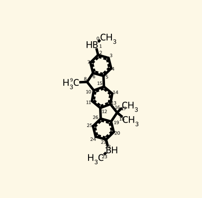 CBc1ccc2c(c1)C(C)c1cc3c(cc1-2)C(C)(C)c1cc(BC)ccc1-3